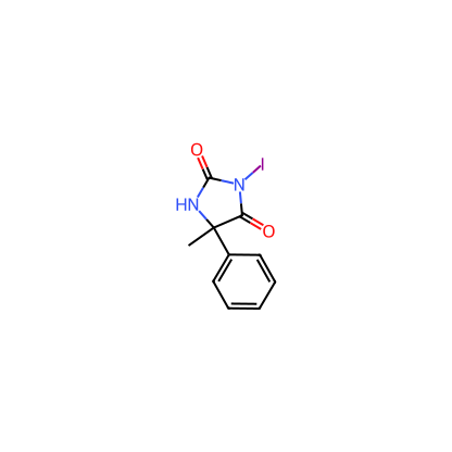 CC1(c2ccccc2)NC(=O)N(I)C1=O